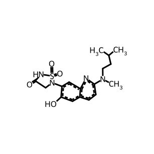 CC(C)CCN(C)c1ccc2cc(O)c(N3CC(=O)NS3(=O)=O)cc2n1